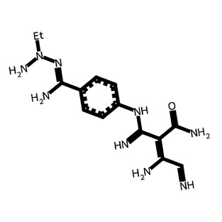 CCN(N)/N=C(\N)c1ccc(NC(=N)/C(C(N)=O)=C(\N)C=N)cc1